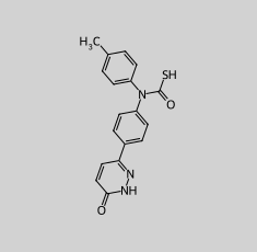 Cc1ccc(N(C(=O)S)c2ccc(-c3ccc(=O)[nH]n3)cc2)cc1